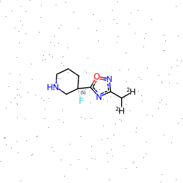 [2H]C([2H])c1noc([C@]2(F)CCCNC2)n1